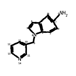 Nc1ccc2c(ccn2Cc2cccnc2)c1